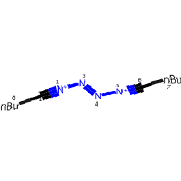 CCCCC#[N+]N=N[N+]#CCCCC